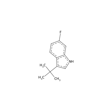 CC(C)(C)c1c[nH]c2cc(F)ccc12